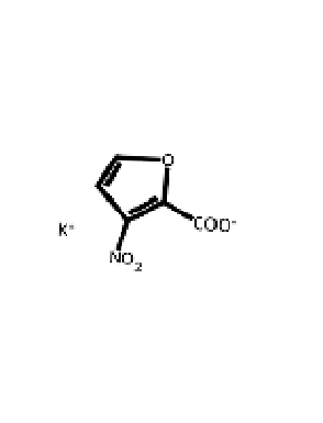 O=C([O-])c1occc1[N+](=O)[O-].[K+]